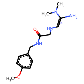 COc1ccc(CNC(=O)CN/C=C(/N)N(C)C)cc1